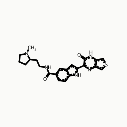 CN1CCCC1CCNC(=O)c1ccc2[nH]c(-c3nc4cscc4[nH]c3=O)cc2c1